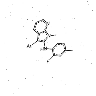 CC(=O)c1c(Nc2ccc(C)cc2F)n(C)c2ncccc12